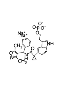 Cc1noc(C)c1C(NC(=O)C1(c2ccc3[nH]cc(CCOP(=O)([O-])[O-])c3c2)CC1)c1ccccc1.[Na+].[Na+]